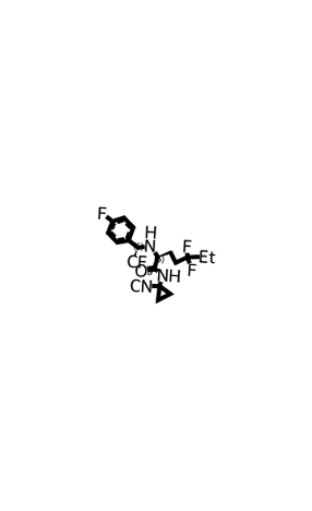 [C-]#[N+]C1(NC(=O)[C@H](CCC(F)(F)CC)N[C@@H](c2ccc(F)cc2)C(F)(F)F)CC1